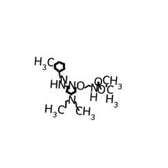 CCCN(CCC)c1cc(N/N=C/c2cccc(C)c2)nc(OCCNC(=O)OC(C)C)c1